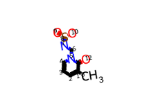 Cc1cccn(CN=S(=O)=O)c1=O